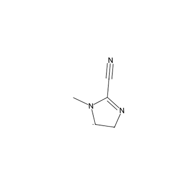 CN1[CH]CN=C1C#N